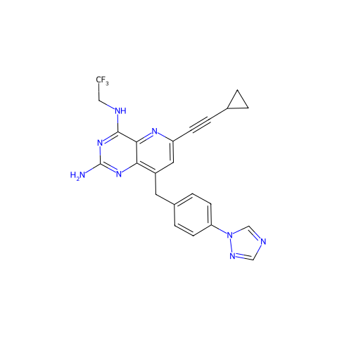 Nc1nc(NCC(F)(F)F)c2nc(C#CC3CC3)cc(Cc3ccc(-n4cncn4)cc3)c2n1